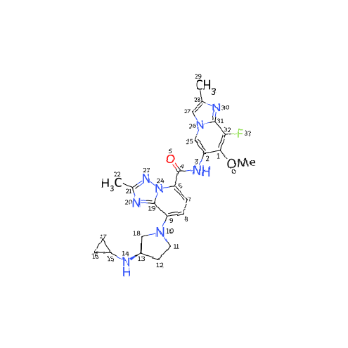 COc1c(NC(=O)c2ccc(N3CC[C@@H](NC4CC4)C3)c3nc(C)nn23)cn2cc(C)nc2c1F